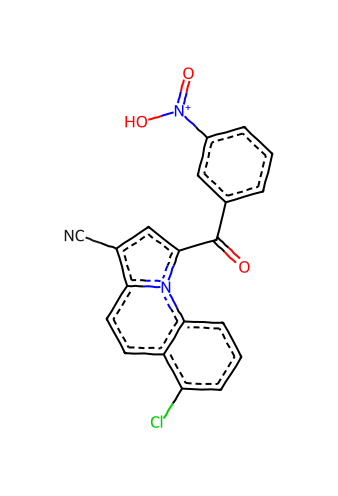 N#Cc1cc(C(=O)c2cccc([N+](=O)O)c2)n2c1ccc1c(Cl)cccc12